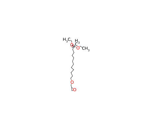 CCO[Si](C)(CCCCCCCCCCCOCC1CO1)OCC